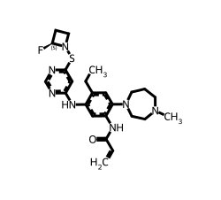 C=CC(=O)Nc1cc(Nc2cc(SN3CC[C@@H]3F)ncn2)c(CC)cc1N1CCCN(C)CC1